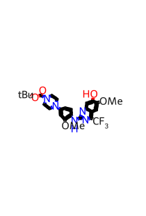 COc1cc2c(C(F)(F)F)nc(Nc3ccc(N4CCN(C(=O)OC(C)(C)C)CC4)cc3OC)nc2cc1O